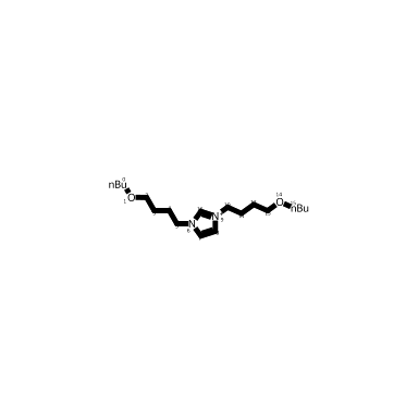 CCCCOCCCCn1cc[n+](CCCCOCCCC)c1